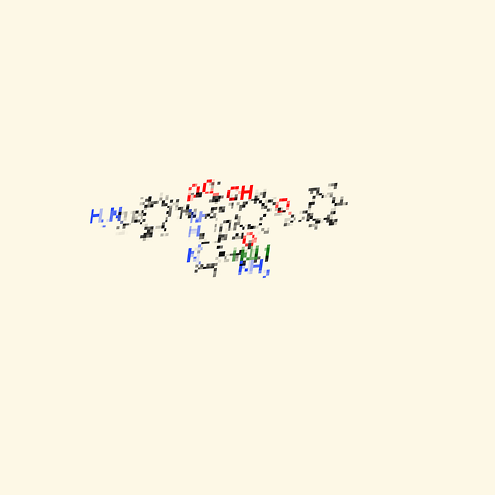 Cl.Cl.NC(=O)c1ccncc1.NCc1ccc(C(=O)N[C@@H](Cc2ccc(OCc3ccccc3)cc2)C(=O)O)cc1